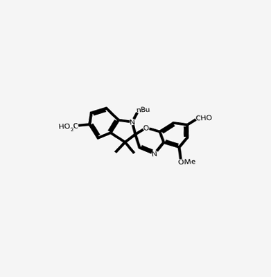 CCCCN1c2ccc(C(=O)O)cc2C(C)(C)C12C=Nc1c(OC)cc(C=O)cc1O2